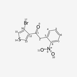 O=C(Cc1ccccc1[N+](=O)[O-])c1cscc1Br